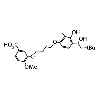 COc1ccc(C(=O)O)cc1OCCCCOc1ccc(C(O)CC(C)(C)C)c(O)c1C